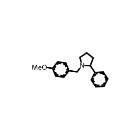 COc1ccc(CN2CCCC2c2ccccc2)cc1